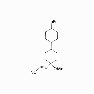 CCCC1CCC(C2CCC(C=CC#N)(OC)CC2)CC1